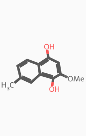 COc1cc(O)c2ccc(C)cc2c1O